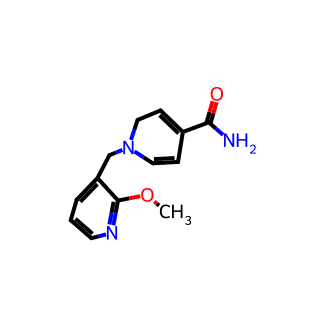 COc1ncccc1CN1C=CC(C(N)=O)=CC1